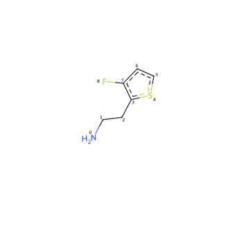 NCCc1sccc1F